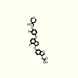 O=C(O)C[C@@H]1COc2cc(O[C@@H]3CCc4c(Oc5ccc(OCC6(O)CCOCC6)c(F)c5)ccc(F)c43)ccc21